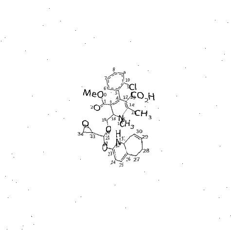 COC(=O)C1=C(c2ccccc2Cl)C(C(=O)O)=C(C)N(C)C1COC(OC1=CC=C2CCC=CC2N1)C1CO1